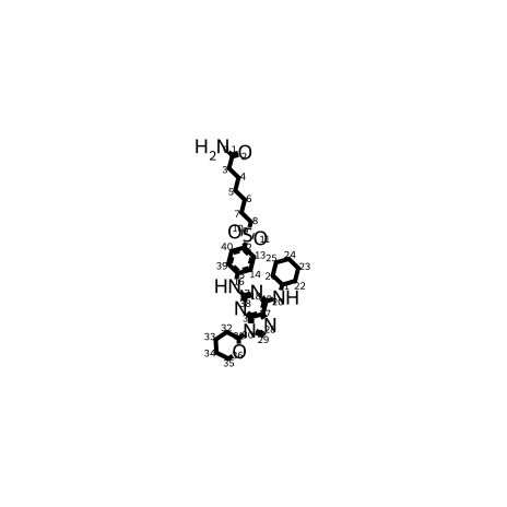 NC(=O)CCCCCCS(=O)(=O)c1ccc(Nc2nc(NC3CCCCC3)c3ncn(C4CCCCO4)c3n2)cc1